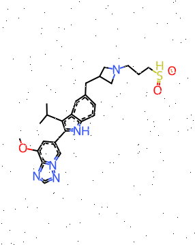 COc1cc(-c2[nH]c3ccc(CC4CN(CCC[SH](=O)=O)C4)cc3c2C(C)C)cn2ncnc12